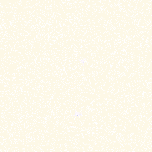 O=C1CCc2cc(OCCCN3CCC(c4ccccc4)CC3)ccc2N1